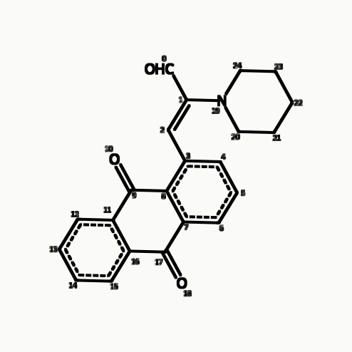 O=CC(=Cc1cccc2c1C(=O)c1ccccc1C2=O)N1CCCCC1